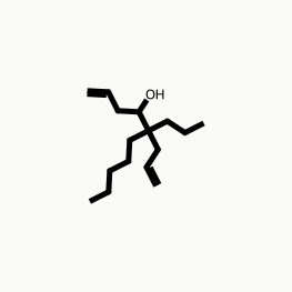 C=CC[C](O)C(CC=C)(CCC)CCCCC